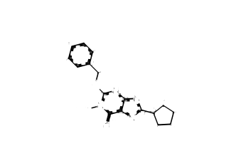 CCCn1c(OCc2ccccc2)nc2nc(C3CCCC3)[nH]c2c1=O